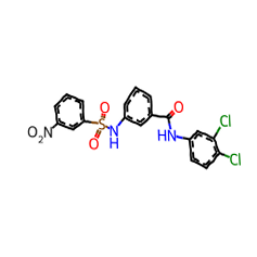 O=C(Nc1ccc(Cl)c(Cl)c1)c1cccc(NS(=O)(=O)c2cccc([N+](=O)[O-])c2)c1